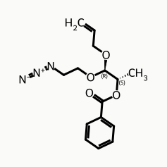 C=CCO[C@H](OCCN=[N+]=[N-])[C@H](C)OC(=O)c1ccccc1